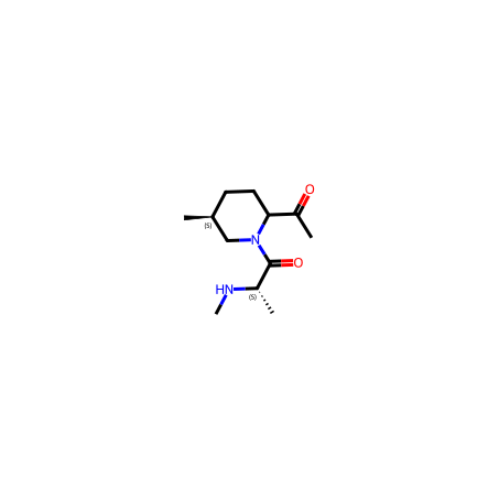 CN[C@@H](C)C(=O)N1C[C@@H](C)CCC1C(C)=O